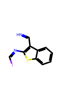 N=Cc1c(/N=C\I)sc2ccccc12